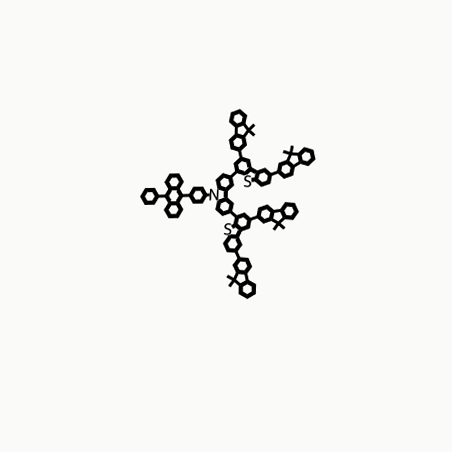 CC1(C)c2ccccc2-c2ccc(-c3ccc4sc5c(-c6ccc7c(c6)c6cc(-c8cc(-c9ccc%10c(c9)C(C)(C)c9ccccc9-%10)cc9c8sc8ccc(-c%10ccc%11c(c%10)C(C)(C)c%10ccccc%10-%11)cc89)ccc6n7-c6ccc(-c7c8ccccc8c(-c8ccccc8)c8ccccc78)cc6)cc(-c6ccc7c(c6)C(C)(C)c6ccccc6-7)cc5c4c3)cc21